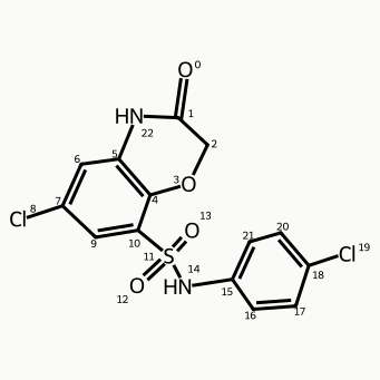 O=C1COc2c(cc(Cl)cc2S(=O)(=O)Nc2ccc(Cl)cc2)N1